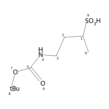 CC(CCNC(=O)OC(C)(C)C)S(=O)(=O)O